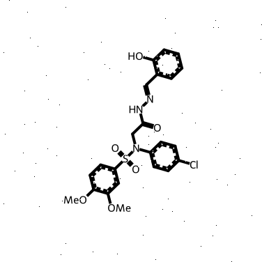 COc1ccc(S(=O)(=O)N(CC(=O)NN=Cc2ccccc2O)c2ccc(Cl)cc2)cc1OC